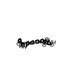 O=C1CCC(N2C(=O)c3ccc(N4CCC(N5CCC(N6CCN7c8cc(-c9ccccc9O)nnc8NCC7C6)CC5)CC4)cc3C2=O)C(=O)N1